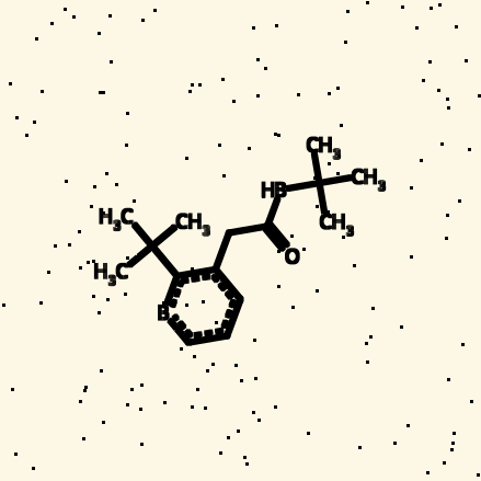 CC(C)(C)BC(=O)Cc1cccbc1C(C)(C)C